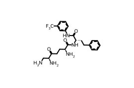 NC[C@H](N)C(=O)CC[C@H](N)C(=O)N[C@@H](CCc1ccccc1)C(=O)Nc1cccc(C(F)(F)F)c1